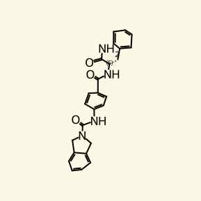 NC(=O)[C@H](Cc1ccccc1)NC(=O)c1ccc(NC(=O)N2Cc3ccccc3C2)cc1